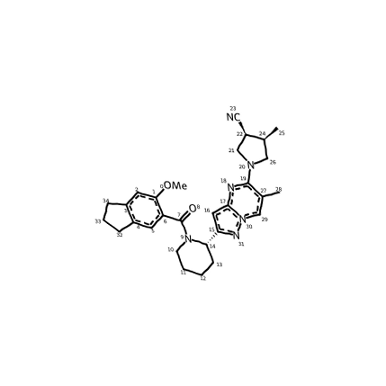 COc1cc2c(cc1C(=O)N1CCCC[C@H]1c1cc3nc(N4C[C@@H](C#N)[C@@H](C)C4)c(C)cn3n1)CCC2